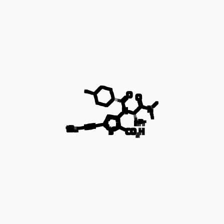 CCC[C@@H](C(=O)N(C)C)N(c1cc(C#CC(C)(C)C)sc1C(=O)O)C(=O)[C@H]1CC[C@H](C)CC1